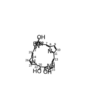 CCCn1c2bc(O)c1C=C1C=CC(=N1)C=C1C=CC(O)(N1)C(O)C1=NC(=C2)C=C1